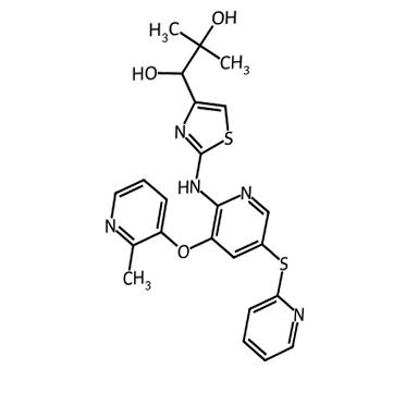 Cc1ncccc1Oc1cc(Sc2ccccn2)cnc1Nc1nc(C(O)C(C)(C)O)cs1